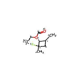 CC1CC(C)(F)C1.CCOC=O